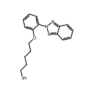 CC(C)CCCCCOc1ccccc1-n1nc2ccccc2n1